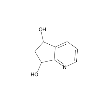 OC1CC(O)c2ncccc21